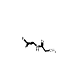 CCC(=O)NCC(F)F